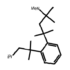 CNC(C)(C)CC(C)(C)c1ccccc1C(C)(C)CC(C)C